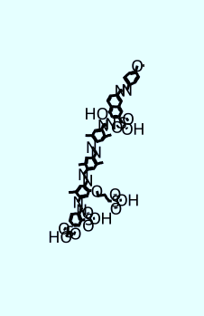 COc1ccc(N=Nc2ccc3c(O)c(N=Nc4cc(C)c(N=Nc5cc(C)c(N=Nc6cc(C)c(N=Nc7ccc(S(=O)(=O)O)cc7S(=O)(=O)O)cc6OCCCS(=O)(=O)O)cc5C)cc4C)c(S(=O)(=O)O)cc3c2)cc1